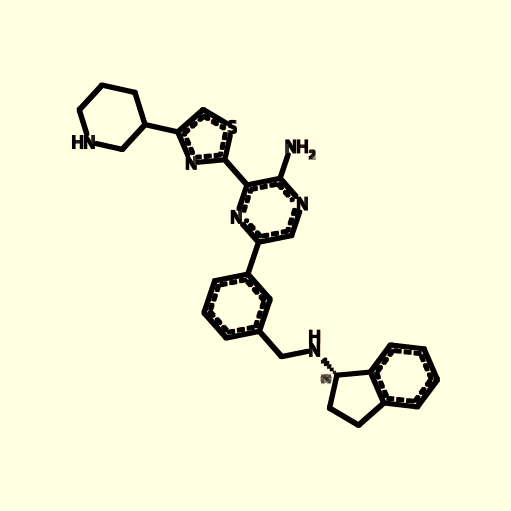 Nc1ncc(-c2cccc(CN[C@H]3CCc4ccccc43)c2)nc1-c1nc(C2CCCNC2)cs1